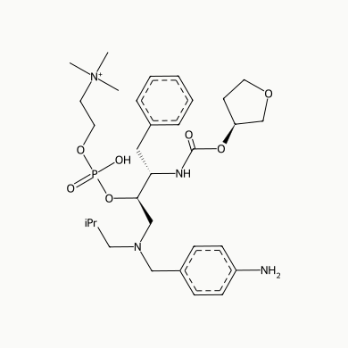 CC(C)CN(Cc1ccc(N)cc1)C[C@@H](OP(=O)(O)OCC[N+](C)(C)C)[C@H](Cc1ccccc1)NC(=O)O[C@H]1CCOC1